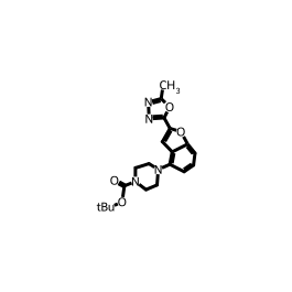 Cc1nnc(-c2cc3c(N4CCN(C(=O)OC(C)(C)C)CC4)cccc3o2)o1